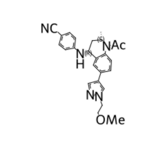 COCCn1cc(-c2ccc3c(c2)[C@H](Nc2ccc(C#N)cc2)C[C@H](C)N3C(C)=O)cn1